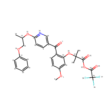 COc1ccc(C(=O)c2ccc(OC(C)COc3ccccc3)nc2)c(OC(C)(C)C(=O)OC(=O)C(F)(F)F)c1